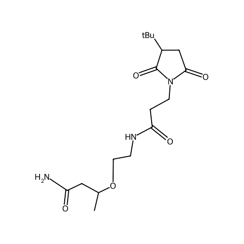 CC(CC(N)=O)OCCNC(=O)CCN1C(=O)CC(C(C)(C)C)C1=O